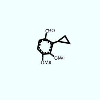 COc1ccc(C=O)c(C2CC2)c1OC